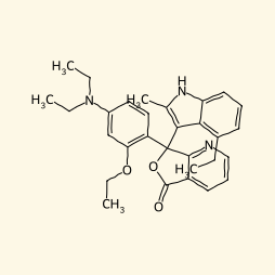 CCOc1cc(N(CC)CC)ccc1C1(c2c(C)[nH]c3cccc(CC)c23)OC(=O)c2cccnc21